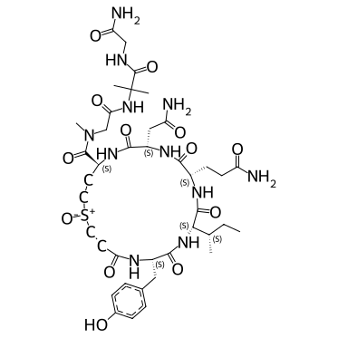 CC[C@H](C)[C@@H]1NC(=O)[C@H](Cc2ccc(O)cc2)NC(=O)CC[S+]([O-])CC[C@@H](C(=O)N(C)CC(=O)NC(C)(C)C(=O)NCC(N)=O)NC(=O)[C@H](CC(N)=O)NC(=O)[C@H](CCC(N)=O)NC1=O